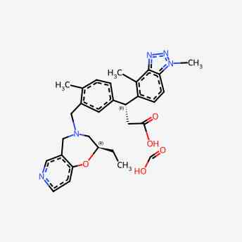 CC[C@@H]1CN(Cc2cc([C@@H](CC(=O)O)c3ccc4c(nnn4C)c3C)ccc2C)Cc2cnccc2O1.O=CO